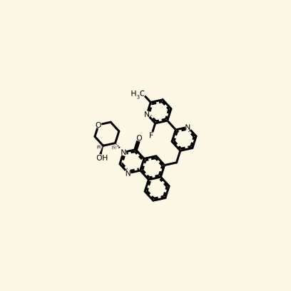 Cc1ccc(-c2cc(Cc3cc4c(=O)n([C@H]5CCOC[C@@H]5O)cnc4c4ccccc34)ccn2)c(F)n1